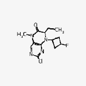 CCC1C(=O)N(C)c2cnc(Cl)nc2N1C1CC(F)C1